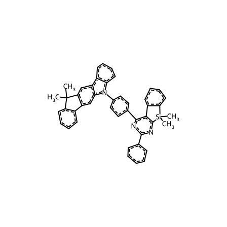 CC1(C)c2ccccc2-c2cc3c(cc21)c1ccccc1n3-c1ccc(-c2nc(-c3ccccc3)nc3c2-c2ccccc2[Si]3(C)C)cc1